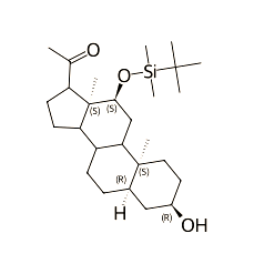 CC(=O)C1CCC2C3CC[C@@H]4C[C@H](O)CC[C@]4(C)C3C[C@H](O[Si](C)(C)C(C)(C)C)[C@]12C